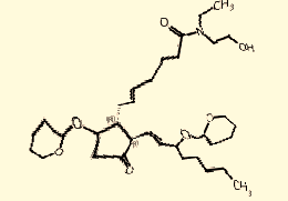 CCCCCC(C=C[C@H]1C(=O)CC(OC2CCCCO2)[C@@H]1CC=CCCCC(=O)N(CC)CCO)OC1CCCCO1